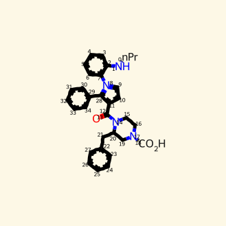 CCCNc1ccccc1-n1ccc(C(=O)N2CCN(C(=O)O)CC2Cc2ccccc2)c1-c1ccccc1